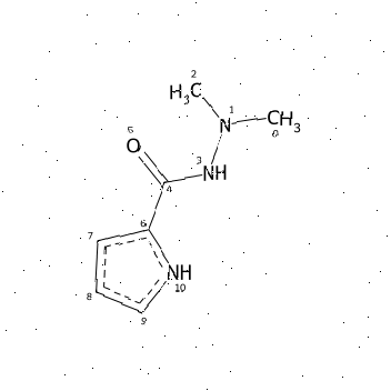 CN(C)NC(=O)c1ccc[nH]1